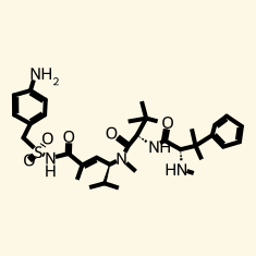 CN[C@H](C(=O)N[C@H](C(=O)N(C)[C@H](/C=C(\C)C(=O)NS(=O)(=O)Cc1ccc(N)cc1)C(C)C)C(C)(C)C)C(C)(C)c1ccccc1